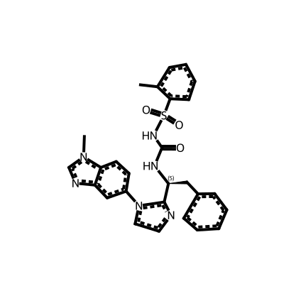 Cc1ccccc1S(=O)(=O)NC(=O)N[C@@H](Cc1ccccc1)c1nccn1-c1ccc2c(c1)ncn2C